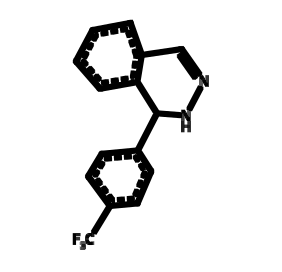 FC(F)(F)c1ccc(C2NN=Cc3ccccc32)cc1